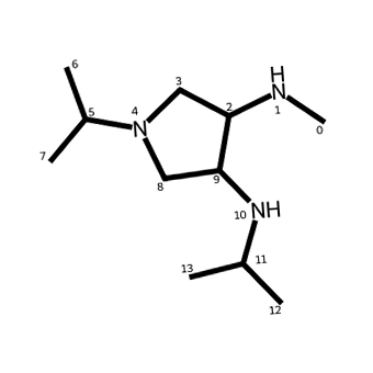 CNC1CN(C(C)C)CC1NC(C)C